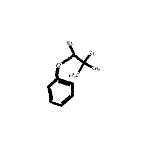 CCC(Oc1ccccc1)C(C)(C)CC